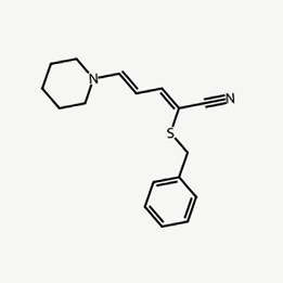 N#CC(=CC=CN1CCCCC1)SCc1ccccc1